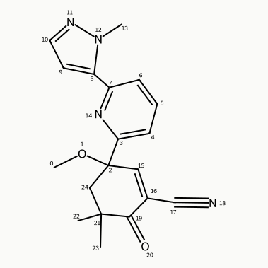 COC1(c2cccc(-c3ccnn3C)n2)C=C(C#N)C(=O)C(C)(C)C1